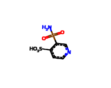 NS(=O)(=O)c1cnccc1S(=O)(=O)O